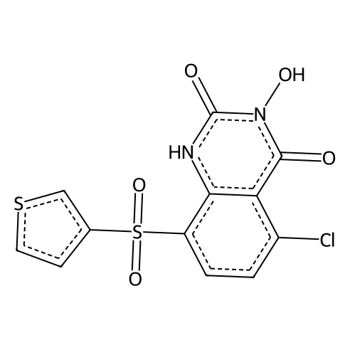 O=c1[nH]c2c(S(=O)(=O)c3ccsc3)ccc(Cl)c2c(=O)n1O